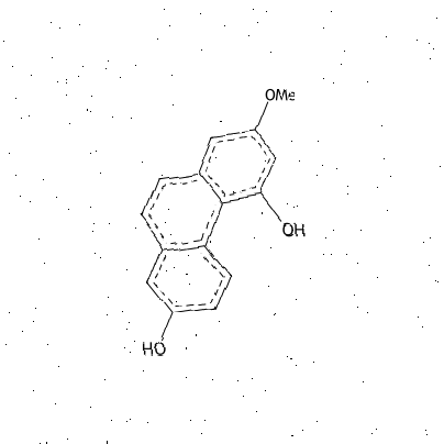 COc1cc(O)c2c(ccc3cc(O)ccc32)c1